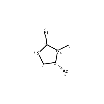 CCC1SC[C@@H](C(C)=O)N1C